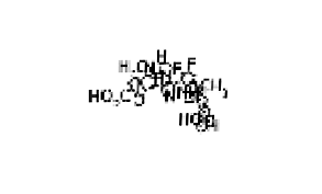 CN1C[C@@H]2CCN(c3c(-c4ccc5ccc(C(=O)O)c(=O)n5c4)cnc4[nH]c5c(N(C)C(=O)OCOP(=O)(O)O)cc(F)c(F)c5c34)[C@@H]2C1